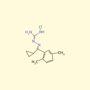 Cc1ccc(C)c(/C(=N/N=C(N)NCl)C2CC2)c1